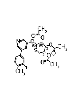 CC(=O)O[C@@H]1[C@@H](OC(C)=O)[C@H](OC(C)=O)CS[C@H]1Oc1cncc(-c2ccc(C)c(F)c2)c1